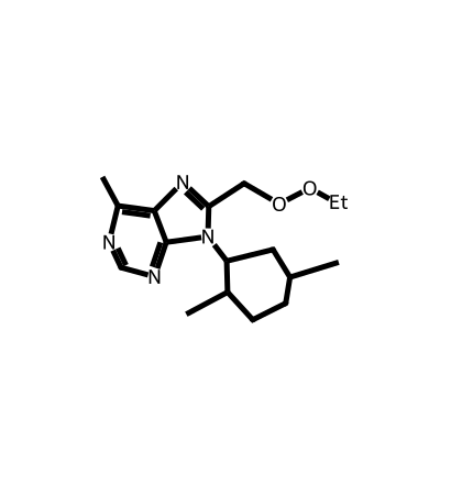 CCOOCc1nc2c(C)ncnc2n1C1CC(C)CCC1C